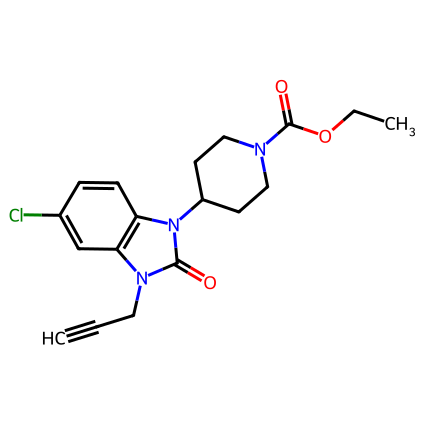 C#CCn1c(=O)n(C2CCN(C(=O)OCC)CC2)c2ccc(Cl)cc21